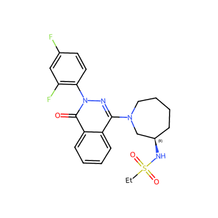 CCS(=O)(=O)N[C@@H]1CCCCN(c2nn(-c3ccc(F)cc3F)c(=O)c3ccccc23)C1